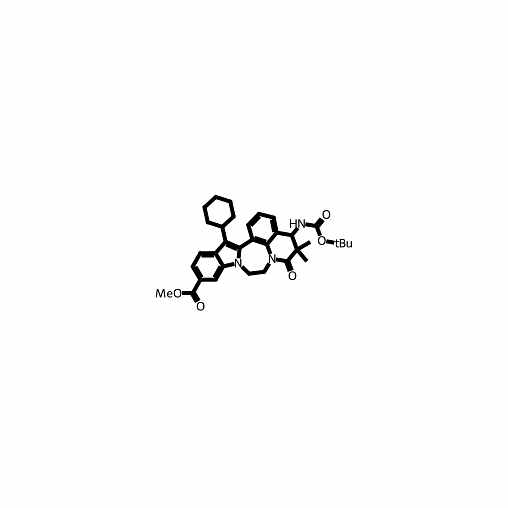 COC(=O)c1ccc2c(C3CCCCC3)c3n(c2c1)CCN1C(=O)C(C)(C)C(NC(=O)OC(C)(C)C)c2cccc-3c21